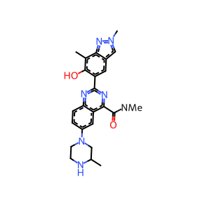 CNC(=O)c1nc(-c2cc3cn(C)nc3c(C)c2O)nc2ccc(N3CCNC(C)C3)cc12